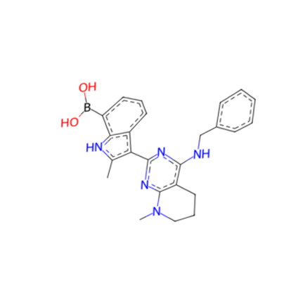 Cc1[nH]c2c(B(O)O)cccc2c1-c1nc(NCc2ccccc2)c2c(n1)N(C)CCC2